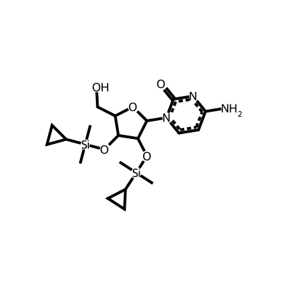 C[Si](C)(OC1C(CO)OC(n2ccc(N)nc2=O)C1O[Si](C)(C)C1CC1)C1CC1